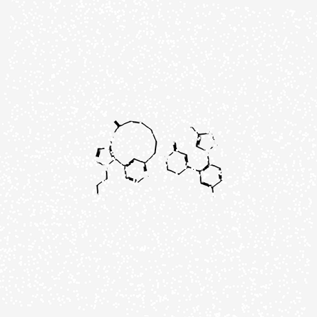 C[C@@H]1CCC[C@H](N2CCC(c3cc(Cl)ccc3N3C=C(Cl)NN3)=CC2=O)c2cc(ccn2)-c2c(cnn2CCO)NC1=O